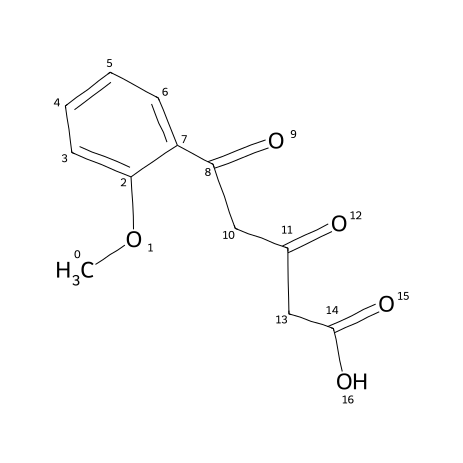 COc1ccccc1C(=O)CC(=O)CC(=O)O